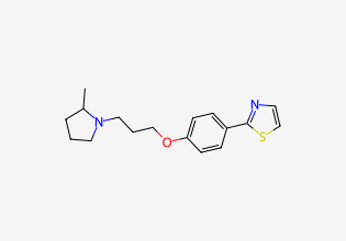 CC1CCCN1CCCOc1ccc(-c2nccs2)cc1